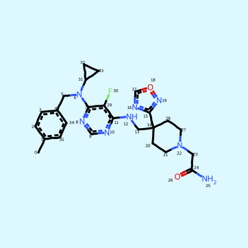 Cc1ccc(CN(c2ncnc(NCC3(c4ncon4)CCN(CC(N)=O)CC3)c2F)C2CC2)cc1